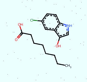 CCCCCCCC(=O)O.Oc1c[nH]c2ccc(Cl)cc12